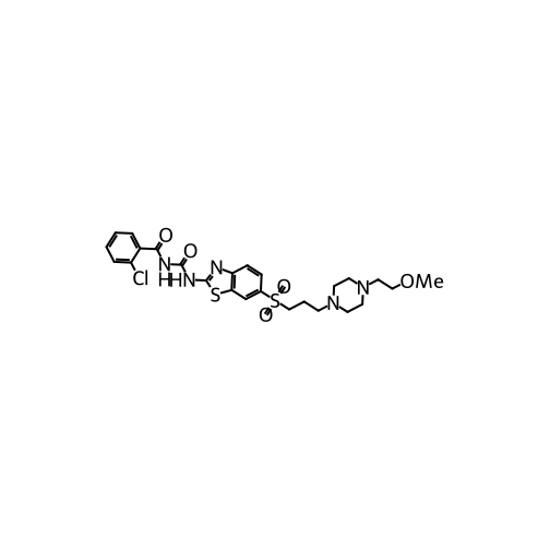 COCCN1CCN(CCCS(=O)(=O)c2ccc3nc(NC(=O)NC(=O)c4ccccc4Cl)sc3c2)CC1